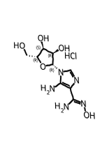 Cl.NC(=NO)c1ncn([C@@H]2O[C@H](CO)[C@@H](O)[C@H]2O)c1N